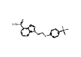 CC(C)(C)c1ccc(OCCn2ccc3c(C(=O)O)cccc32)cc1